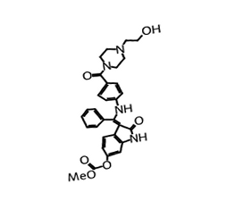 COC(=O)Oc1ccc2c(c1)NC(=O)/C2=C(\Nc1ccc(C(=O)N2CCN(CCO)CC2)cc1)c1ccccc1